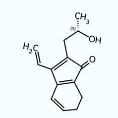 C=CC1=C(C[C@H](C)O)C(=O)C2=C1C=CCC2